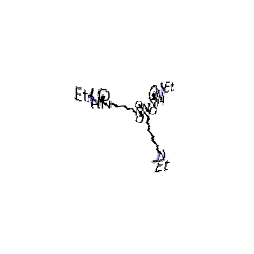 CC/C(C)=N/CCCCCCCCn1c(=O)n(CCCCCCNC(=O)/N=C(\C)CC)c(=O)n(CNC(=O)/N=C(\C)CC)c1=O